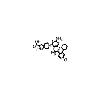 Nc1nc(O[C@H](c2ccc(Cl)cc2C2CCCCC2)C(F)(F)F)cc(N2CCC3(CC2)CNC(C(=O)O)C3)n1